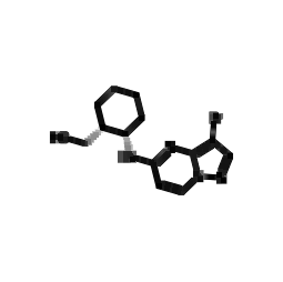 OC[C@@H]1CCCC[C@@H]1Nc1ccn2ncc(Br)c2n1